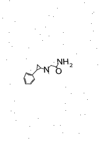 CN(CC(N)=O)C1CC1c1ccccc1